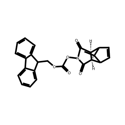 C[C@@H]1C2C=CC1[C@@H]1C(=O)N(OC(=O)OCC3c4ccccc4-c4ccccc43)C(=O)[C@H]21